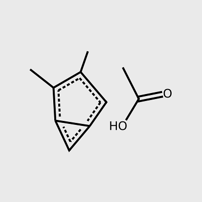 CC(=O)O.Cc1cc2cc-2c1C